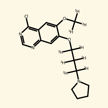 [2H]C([2H])([2H])Oc1cc2c(Cl)ncnc2cc1OC([2H])([2H])C([2H])([2H])C([2H])([2H])N1CCCC1